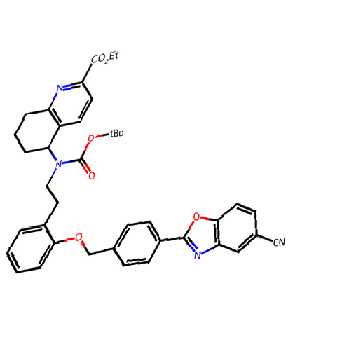 CCOC(=O)c1ccc2c(n1)CCCC2N(CCc1ccccc1OCc1ccc(-c2nc3cc(C#N)ccc3o2)cc1)C(=O)OC(C)(C)C